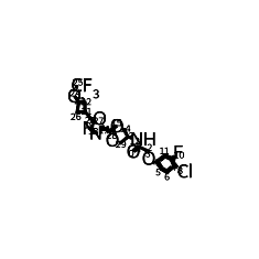 O=C(COc1ccc(Cl)c(F)c1)NC1COC(c2nnc(C3CC(OC(F)(F)F)C3)o2)OC1